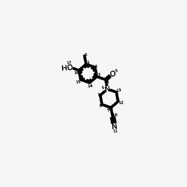 Cc1cc(C(=O)N2CCC(C#N)CC2)ccc1O